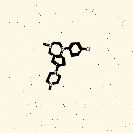 CN1CCN(c2ccc3c(c2)CN(C)CCN3c2ccc(Cl)cc2)CC1